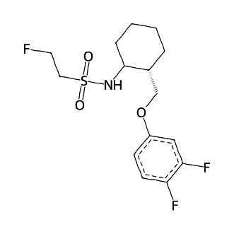 O=S(=O)(CCF)NC1CCCC[C@@H]1COc1ccc(F)c(F)c1